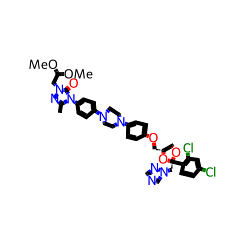 COC(Cn1nc(C)n(-c2ccc(N3CCN(c4ccc(OC[C@@H]5CO[C@@](Cn6cncn6)(c6ccc(Cl)cc6Cl)O5)cc4)CC3)cc2)c1=O)OC